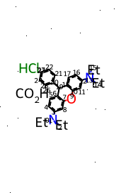 CCN(CC)c1ccc2c(c1)Oc1cc(N(CC)CC)ccc1C2c1ccccc1C(=O)O.Cl